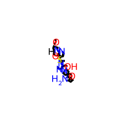 C=N/C(=C(CO)\N=C(/C)Sc1ccnc2c1OC[C@@H]1C[C@H](COC)CN21)N1CCC2(CC1)COC1(CCC1)[C@H]2N